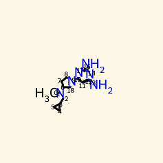 CN(CC1CC1)[C@@H]1CCN(c2cc(N)nc(N)n2)C1